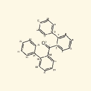 O=C(c1ccccc1-c1ccccc1)c1ccccc1-c1ccccc1